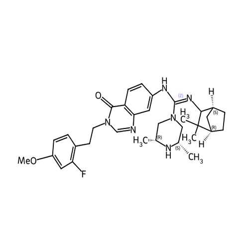 COc1ccc(CCn2cnc3cc(N/C(=N/C4[C@H]5CC[C@H](C5)C4(C)C)N4C[C@@H](C)N[C@@H](C)C4)ccc3c2=O)c(F)c1